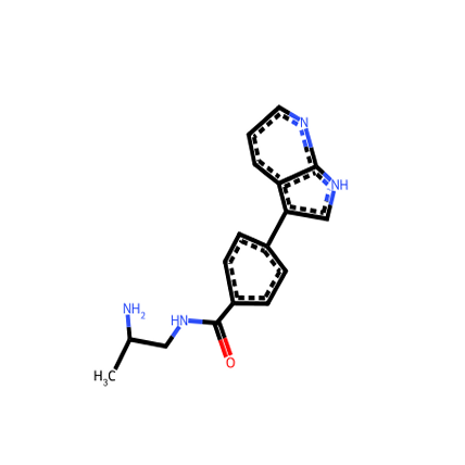 CC(N)CNC(=O)c1ccc(-c2c[nH]c3ncccc23)cc1